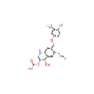 CCc1cc2c(cc1=COc1ccc(Cl)c(C)c1)NC=C(OC(=O)O)C=2O